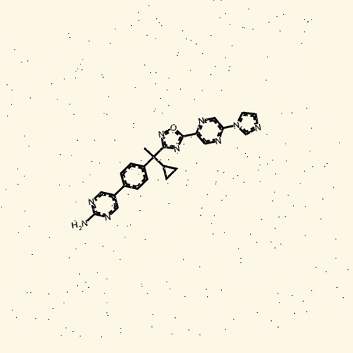 CC(c1ccc(-c2cnc(N)nc2)cc1)(c1noc(-c2cnc(-n3ccnc3)cn2)n1)C1CC1